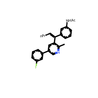 CCC/C=C(/c1cccc(NC(C)=O)c1)c1cc(-c2cccc(F)c2)cnc1C